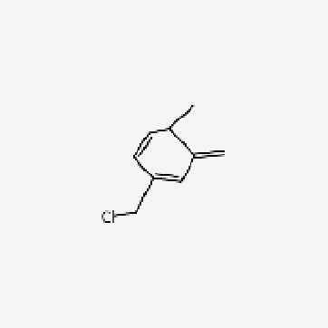 C=C1C=C(CCl)C=CC1C